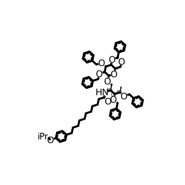 CC(C)Oc1ccc(CCCCCCCCCCC(=O)N[C@@H](COC2OC3COC(c4ccccc4)OC3C(OCc3ccccc3)C2OCc2ccccc2)[C@H](OCc2ccccc2)[C@@H](C)OCc2ccccc2)cc1